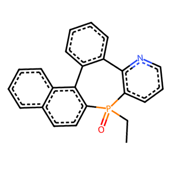 CCP1(=O)c2cccnc2-c2ccccc2-c2c1ccc1ccccc21